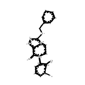 O=c1c2nnc(SCc3ccccc3)n2ccn1-c1cccc(F)c1Cl